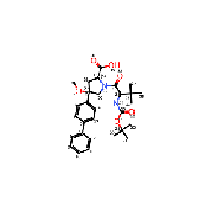 CO[C@@]1(c2ccc(-c3ccccc3)cc2)C[C@@H](C(=O)O)N(C(=O)C(NC(=O)OC(C)(C)C)C(C)(C)C)C1